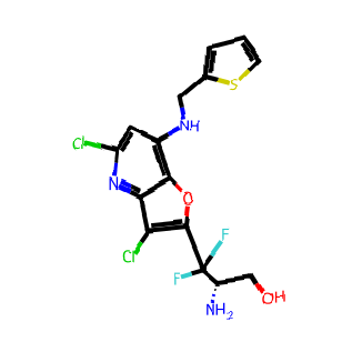 N[C@@H](CO)C(F)(F)c1oc2c(NCc3cccs3)cc(Cl)nc2c1Cl